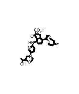 CC(O)C1CN(c2ccc(Nc3ccc(-c4cnc5cc(F)ccn45)c4c3C(=O)N(C(=O)O)C4)nc2)CCO1